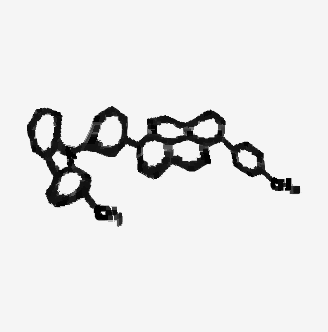 Cc1ccc(-c2ccc3ccc4c(-c5cccc(-n6c7ccccc7c7ccc(C)cc76)c5)ccc5ccc2c3c54)cc1